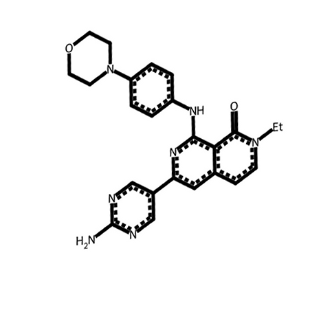 CCn1ccc2cc(-c3cnc(N)nc3)nc(Nc3ccc(N4CCOCC4)cc3)c2c1=O